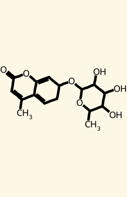 Cc1cc(=O)oc2c1=CCC(OC1OC(C)C(O)C(O)C1O)C=2